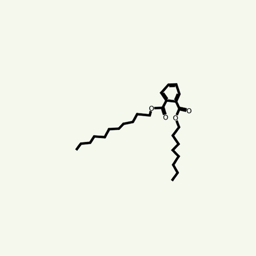 CCCCCCCCCCCOC(=O)c1ccccc1C(=O)OCCCCCCCC